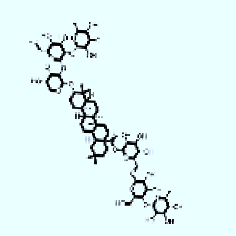 C[C@@H]1O[C@@H](O[C@H]2[C@H](O[C@H]3[C@H](O[C@H]4CC[C@]5(C)[C@H]6CC=C7[C@@H]8CC(C)(C)CC[C@]8(C(=O)O[C@@H]8O[C@H](CO[C@@H]9O[C@H](CO)[C@@H](O[C@@H]%10O[C@@H](C)[C@H](O)[C@@H](O)[C@H]%10O)[C@H](O)[C@H]9O)[C@@H](O)[C@H](O)[C@H]8O)CC[C@@]7(C)[C@]6(C)CC[C@H]5C4(C)C)OC[C@H](O)[C@@H]3O)O[C@H](CO)[C@@H](O)[C@@H]2O)[C@H](O)[C@H](O)[C@H]1O